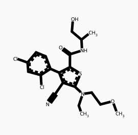 CCN(CCOC)c1sc(C(=O)NC(C)CO)c(-c2ccc(Cl)cc2Cl)c1C#N